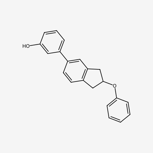 Oc1cccc(-c2ccc3c(c2)CC(Oc2ccccc2)C3)c1